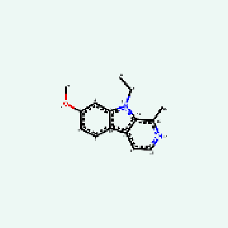 [CH2]Cn1c2cc(OC)ccc2c2ccnc(C)c21